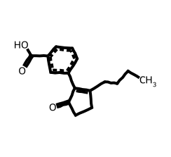 CCCCC1=C(c2cccc(C(=O)O)c2)C(=O)CC1